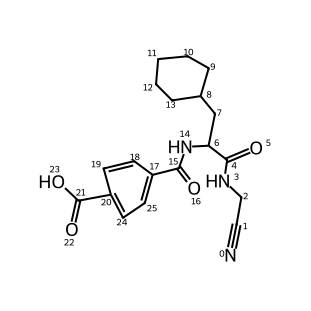 N#CCNC(=O)C(CC1CCCCC1)NC(=O)c1ccc(C(=O)O)cc1